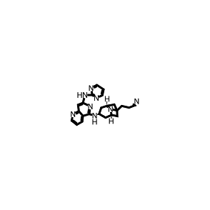 N#CCCC12C[C@H]3C[C@H](Nc4nc(Nc5ncccn5)cc5ncccc45)C[C@@H](C1)N32